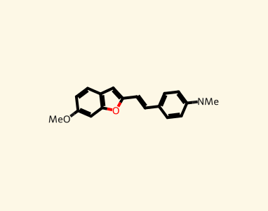 CNc1ccc(C=Cc2cc3ccc(OC)cc3o2)cc1